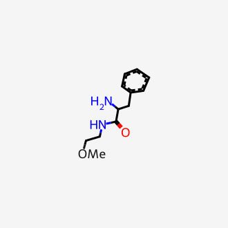 COCCNC(=O)C(N)Cc1ccccc1